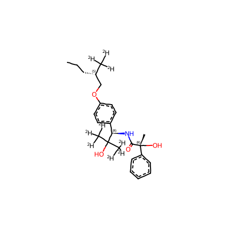 [2H]C([2H])([2H])[C@@H](CCC)COc1ccc([C@@H](NC(=O)[C@](C)(O)c2ccccc2)C(O)(C([2H])([2H])[2H])C([2H])([2H])[2H])cc1